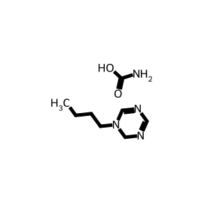 CCCCN1C=NC=NC1.NC(=O)O